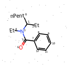 CCCCCC(CC)N(CC)C(=O)c1ccccc1